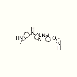 Cc1cc2cc(Nc3ccnc(Nc4cccc(OC5CCNC5)c4)n3)ccc2[nH]1